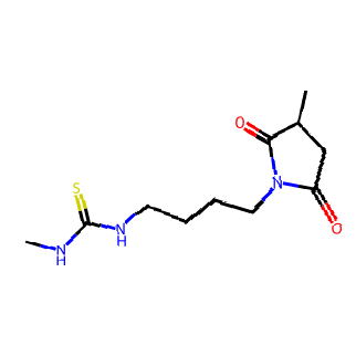 CNC(=S)NCCCCN1C(=O)CC(C)C1=O